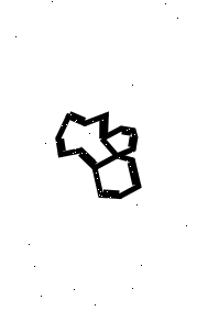 [C]1=C2/C=CC=CC23C=CC=C\C3=C/C=C/C=C\1